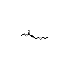 [CH2]CCOCCC#CC(=O)OCC